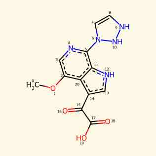 COc1cnc(N2C=CNN2)c2[nH]cc(C(=O)C(=O)O)c12